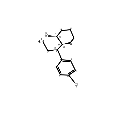 NC[C@H](c1ccc(Cl)cc1)[C@@H]1CCCC[C@H]1O